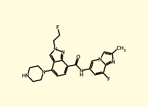 Cc1cn2cc(NC(=O)c3ccc(N4CCNCC4)c4cn(CCF)nc34)cc(F)c2n1